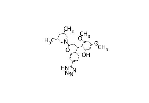 COc1cc(O)c(C(CC(=O)N2CC(C)CC(C)C2)C2C=CC(c3nnn[nH]3)=CC2)c(OC)c1